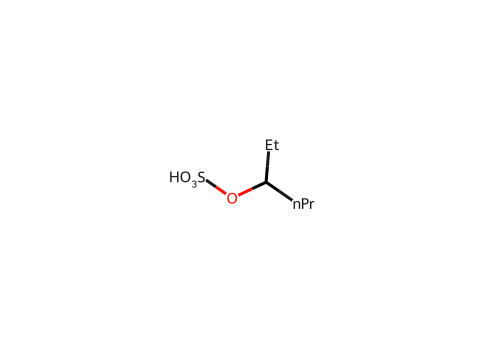 CCCC(CC)OS(=O)(=O)O